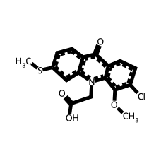 COc1c(Cl)ccc2c(=O)c3ccc(SC)cc3n(CC(=O)O)c12